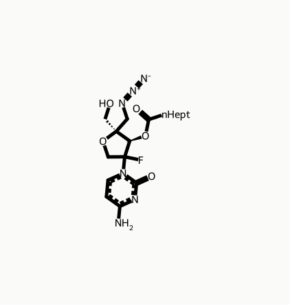 CCCCCCCC(=O)O[C@H]1C(F)(n2ccc(N)nc2=O)CO[C@@]1(CO)CN=[N+]=[N-]